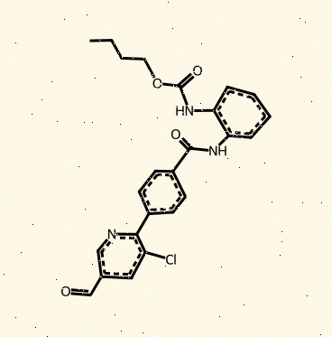 CCCCOC(=O)Nc1ccccc1NC(=O)c1ccc(-c2ncc(C=O)cc2Cl)cc1